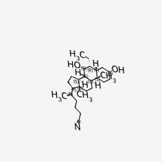 CC[C@H]1[C@@H](O)[C@@H]2[C@H](CC[C@]3(C)[C@@H]([C@H](C)CCCC#N)CC[C@@H]23)[C@@]2(C)CC[C@@H](O)C[C@@H]12